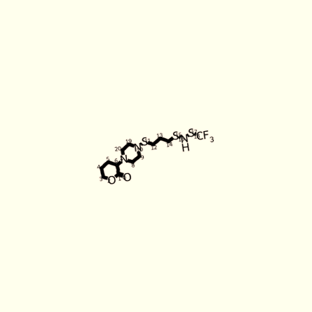 O=C1OCCCC1N1CCN(SCCCSNSC(F)(F)F)CC1